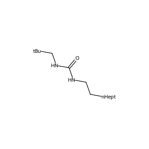 CCCCCCCCCNC(=O)NCC(C)(C)C